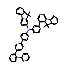 CC1(C)c2ccccc2-c2ccc(N(c3ccc(-c4ccc(-c5ccccc5-c5ccccc5)cc4)cc3)c3cccc(-c4cccc5c4C(C)(C)c4ccccc4-5)c3)cc21